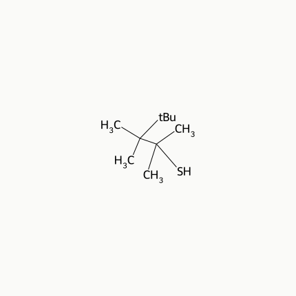 CC(C)(C)C(C)(C)C(C)(C)S